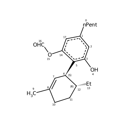 CCCCCc1cc(O)c([C@@H]2C=C(C)CC[C@H]2CC)c(OC=O)c1